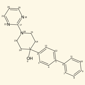 OC1(c2ccc(-c3ccccc3)cc2)CCN(c2ncccn2)CC1